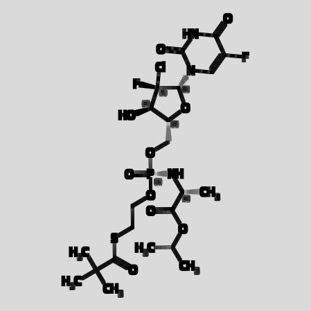 CC(C)OC(=O)[C@@H](C)N[P@@](=O)(OCCSC(=O)C(C)(C)C)OC[C@H]1O[C@@H](n2cc(F)c(=O)[nH]c2=O)[C@@](F)(Cl)[C@@H]1O